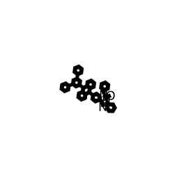 O=c1n(-c2ccccc2)c2cc(-c3c4ccccc4c(-c4cc(-c5ccccc5)cc(-c5ccccc5)c4)c4ccccc34)ccc2c2nc3ccccc3n12